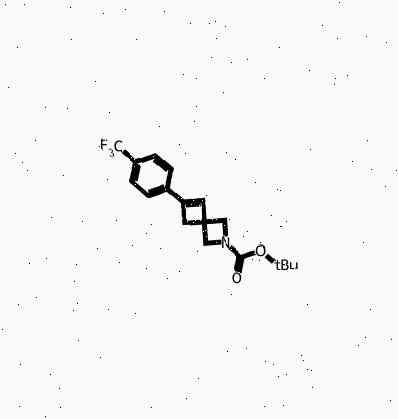 CC(C)(C)OC(=O)N1CC2(C=C(c3ccc(C(F)(F)F)cc3)C2)C1